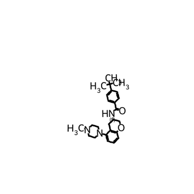 CN1CCN(c2cccc3c2C[C@H](NC(=O)c2ccc(C(C)(C)C)cc2)CO3)CC1